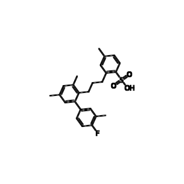 Cc1ccc(S(=O)(=O)O)c(CCCc2c(C)cc(C)cc2-c2ccc(F)c(C)c2)c1